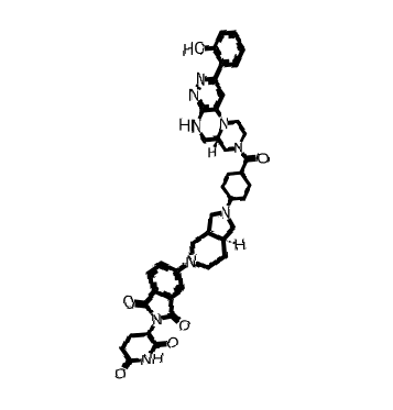 O=C1CCC(N2C(=O)c3ccc(N4CC[C@@H]5CN(C6CCC(C(=O)N7CCN8c9cc(-c%10ccccc%10O)nnc9NC[C@H]8C7)CC6)CC5C4)cc3C2=O)C(=O)N1